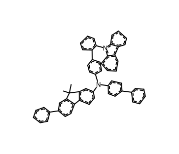 CC1(C)c2cc(-c3ccccc3)ccc2-c2ccc(N(c3ccc(-c4ccccc4)cc3)c3ccc(-c4ccccc4-n4c5ccccc5c5ccccc54)cc3)cc21